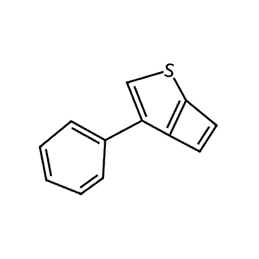 C1=Cc2c(-c3ccccc3)csc21